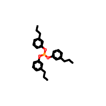 CCCc1cccc(OP(Oc2cccc(CCC)c2)Oc2cccc(CCC)c2)c1